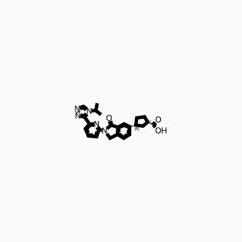 CC(C)n1cnnc1-c1cccc(N2Cc3ccc([C@@H]4CC[C@H](C(=O)O)C4)cc3C2=O)n1